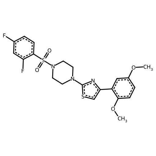 COc1ccc(OC)c(-c2csc(N3CCN(S(=O)(=O)c4ccc(F)cc4F)CC3)n2)c1